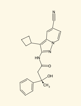 C[C@](O)(CC(=O)Nc1nn2ccc(C#N)cc2c1C1CCC1)c1ccccc1